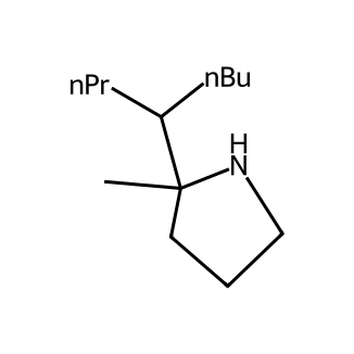 CCCCC(CCC)C1(C)CCCN1